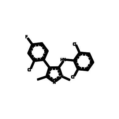 Cc1nn(C)c(Nc2c(Cl)cccc2Cl)c1-c1ccc(F)cc1Cl